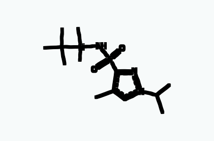 Cc1cn(C(C)C)nc1S(=O)(=O)N[Si](C)(C)C(C)(C)C